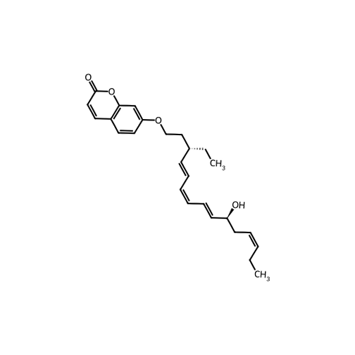 CC/C=C\C[C@H](O)/C=C/C=C\C=C\[C@@H](CC)CCOc1ccc2ccc(=O)oc2c1